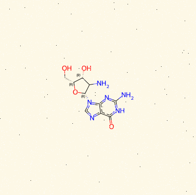 Nc1nc2c(ncn2[C@@H]2O[C@H](CO)[C@H](O)C2N)c(=O)[nH]1